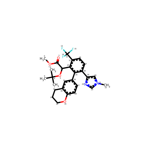 COC(=O)C(OC(C)(C)C)c1c(C(F)(F)F)ccc(-c2cn(C)cn2)c1-c1ccc2c(c1)CCCO2